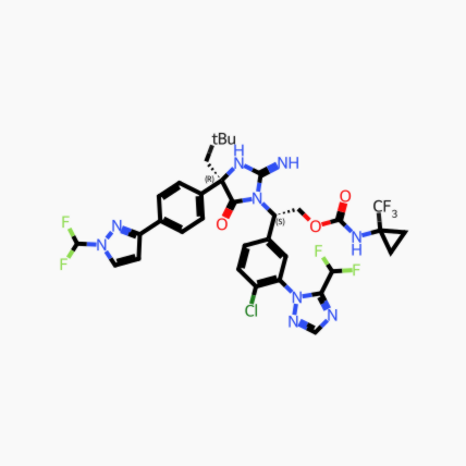 CC(C)(C)C[C@]1(c2ccc(-c3ccn(C(F)F)n3)cc2)NC(=N)N([C@H](COC(=O)NC2(C(F)(F)F)CC2)c2ccc(Cl)c(-n3ncnc3C(F)F)c2)C1=O